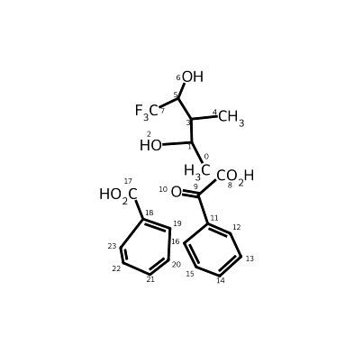 CC(O)C(C)C(O)C(F)(F)F.O=C(O)C(=O)c1ccccc1.O=C(O)c1ccccc1